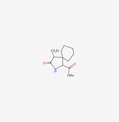 CCOC(=O)C1C(=O)NC(C(=O)OC)C12CCCCC2